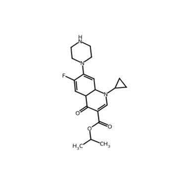 CC(C)OC(=O)C1=CN(C2CC2)C2C=C(N3CCNCC3)C(F)=CC2C1=O